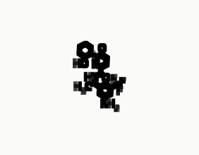 C[C@@H](NC(=O)c1ccc(=O)n([C@@H]2CCCC[C@H]2O)n1)c1cc(N)cc(C(F)(F)F)c1